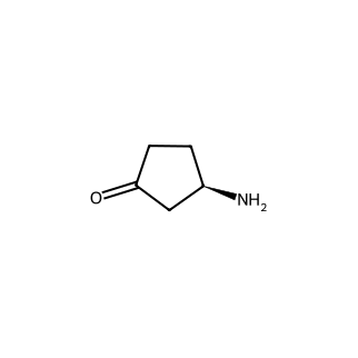 N[C@@H]1CCC(=O)C1